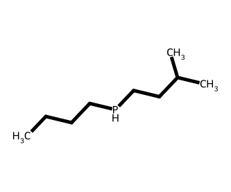 CCCCPCCC(C)C